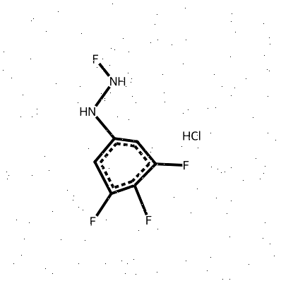 Cl.FNNc1cc(F)c(F)c(F)c1